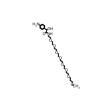 COCCCOCCOCCOCCOCCOCCOCCOCCNC(=O)C(O)c1ccc(N)cc1